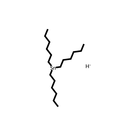 CCCCC[CH2][Sn]([CH2]CCCCC)[CH2]CCCCC.[H-]